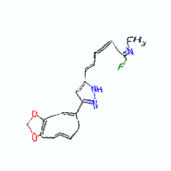 C\N=C(F)/C=C\C=C\c1cc(C2=CC3=C(C=CC2)OCO3)n[nH]1